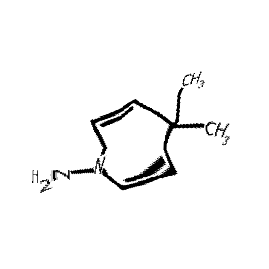 CC1(C)C=CN(N)C=C1